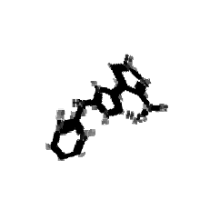 CCN(C)c1n[nH]cc1-c1csc(Nc2ncccn2)n1